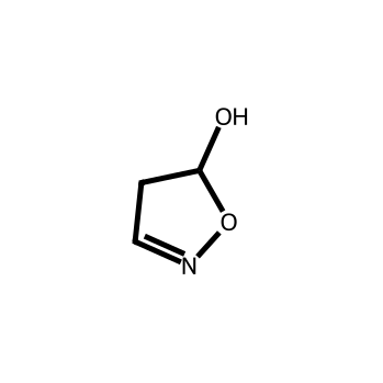 OC1CC=NO1